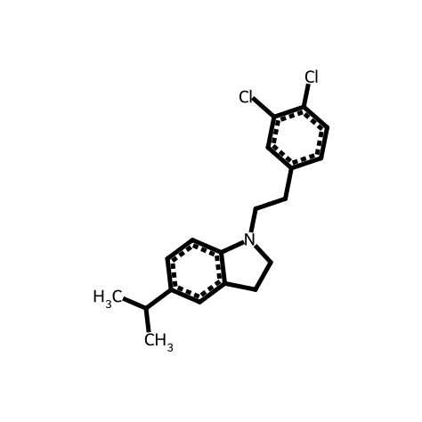 CC(C)c1ccc2c(c1)CCN2CCc1ccc(Cl)c(Cl)c1